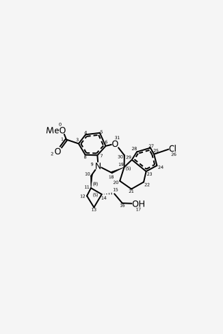 COC(=O)c1ccc2c(c1)N(C[C@@H]1CC[C@H]1CCO)C[C@@]1(CCCc3cc(Cl)ccc31)CO2